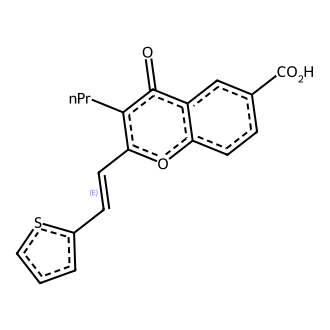 CCCc1c(/C=C/c2cccs2)oc2ccc(C(=O)O)cc2c1=O